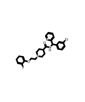 CCc1cccc(C(NC(=O)C2CCN(CCOC3=CCCC=C3F)CC2)c2ccccn2)c1